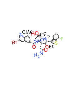 CCOc1c(CC(N)=O)cc([C@@](O)(CNC(=O)c2cc(OC)c3ncc(Br)cc3c2)C(F)(F)F)nc1-c1csc2c(F)cccc12